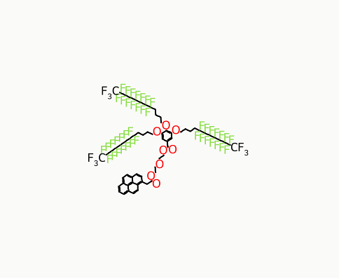 O=C(Cc1ccc2ccc3cccc4ccc1c2c34)OCCOCCOC(=O)c1cc(OCCCCC(F)(F)C(F)(F)C(F)(F)C(F)(F)C(F)(F)C(F)(F)C(F)(F)C(F)(F)F)c(OCCCCC(F)(F)C(F)(F)C(F)(F)C(F)(F)C(F)(F)C(F)(F)C(F)(F)C(F)(F)F)c(OCCCCC(F)(F)C(F)(F)C(F)(F)C(F)(F)C(F)(F)C(F)(F)C(F)(F)C(F)(F)F)c1